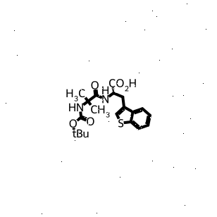 CC(C)(C)OC(=O)NC(C)(C)C(=O)N[C@H](Cc1csc2ccccc12)C(=O)O